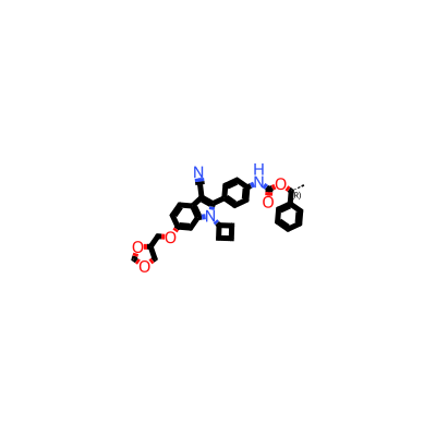 C[C@@H](OC(=O)Nc1ccc(-c2c(C#N)c3ccc(OCC4COCO4)cc3n2C2CCC2)cc1)c1ccccc1